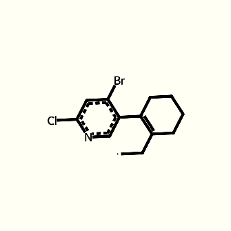 [CH2]CC1=C(c2cnc(Cl)cc2Br)CCCC1